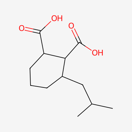 CC(C)CC1CCCC(C(=O)O)C1C(=O)O